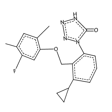 Cc1cc(C)c(OCc2c(C3CC3)cccc2-n2nn[nH]c2=O)cc1F